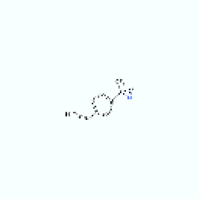 C=Cc1ccc(C2(C(F)(F)F)C=N2)cc1